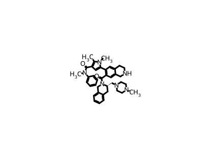 Cc1c(C(=O)N(C)c2ccccc2)cc(-c2cc3c(cc2C(=O)N2Cc4ccccc4C[C@H]2CN2CCN(C)CC2)CNCC3)n1C